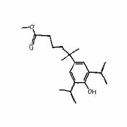 COC(=O)CCCC(C)(C)c1cc(C(C)C)c(O)c(C(C)C)c1